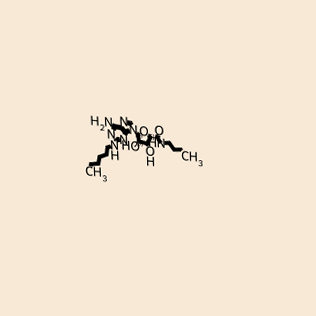 CCCCCCNc1nc(N)c2ncn([C@@H]3O[C@H](C(=O)NCCCC)C(O)[C@@H]3O)c2n1